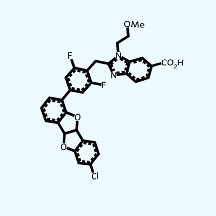 COCCn1c(Cc2c(F)cc(-c3cccc4c3OC3c5ccc(Cl)cc5OC43)cc2F)nc2ccc(C(=O)O)cc21